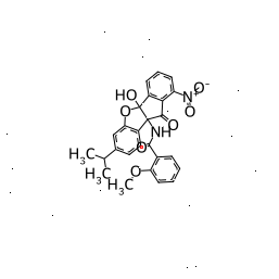 COc1ccccc1C(=O)NC12C(=O)c3c([N+](=O)[O-])cccc3C1(O)Oc1cc(C(C)C)ccc12